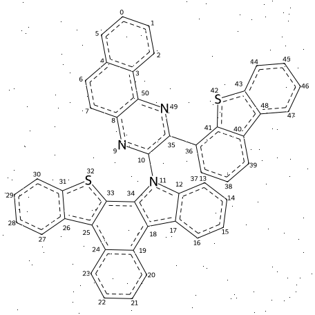 c1ccc2c(c1)ccc1nc(-n3c4ccccc4c4c5ccccc5c5c6ccccc6sc5c43)c(-c3cccc4c3sc3ccccc34)nc12